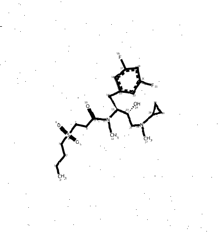 CCCCS(=O)(=O)CCC(=O)N(C)[C@@H](Cc1cc(F)cc(F)c1)[C@H](O)CN(C)C1CC1